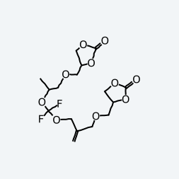 C=C(COCC1COC(=O)O1)COC(F)(F)OC(C)COCC1COC(=O)O1